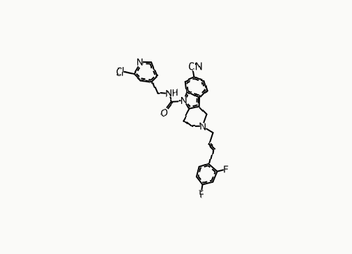 N#Cc1ccc2c3c(n(C(=O)NCc4ccnc(Cl)c4)c2c1)CCN(C/C=C/c1ccc(F)cc1F)C3